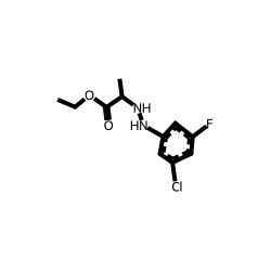 CCOC(=O)C(C)NNc1cc(F)cc(Cl)c1